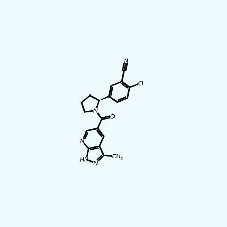 Cc1n[nH]c2ncc(C(=O)N3CCC[C@H]3c3ccc(Cl)c(C#N)c3)cc12